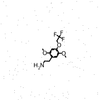 COc1cc(OCC(F)(F)F)c(OC)cc1CCN